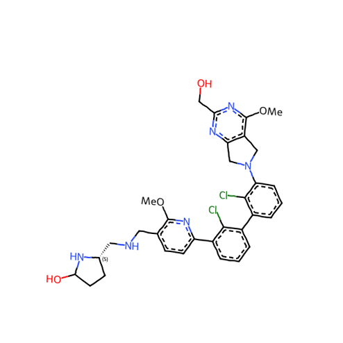 COc1nc(-c2cccc(-c3cccc(N4Cc5nc(CO)nc(OC)c5C4)c3Cl)c2Cl)ccc1CNC[C@@H]1CCC(O)N1